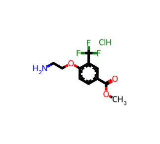 COC(=O)c1ccc(OCCN)c(C(F)(F)F)c1.Cl